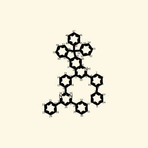 c1ccc(-c2cccc(-c3cc(-c4cccc(-c5nc(-c6ccccc6)cc(-c6ccccc6)n5)c4)c4cc5c(cc4n3)C(c3ccccc3)(c3ccccc3)c3ccccc3-5)c2)cc1